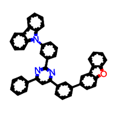 c1ccc(-c2cc(-c3cccc(-c4ccc5oc6ccccc6c5c4)c3)nc(-c3cccc(-n4c5ccccc5c5ccccc54)c3)n2)cc1